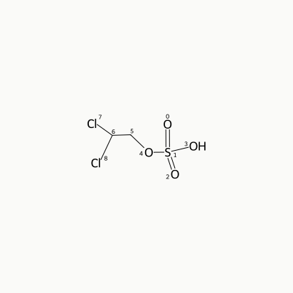 O=S(=O)(O)OCC(Cl)Cl